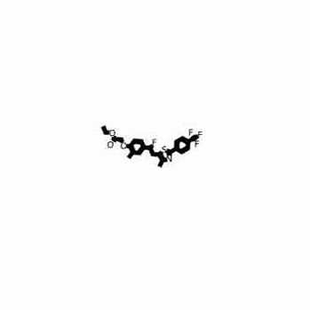 CCOC(=O)COc1ccc(C(F)Cc2sc(-c3ccc(C(F)(F)F)cc3)nc2C)cc1C